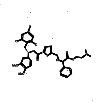 COc1ccc([C@H](Cc2c(Cl)c[n+]([O-])cc2Cl)OC(=O)c2ccc(CNC(C(=O)OCCN(C)C)c3ccccc3)s2)cc1OC